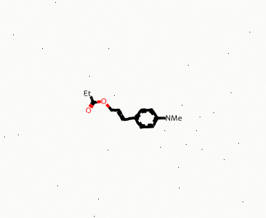 CCC(=O)OC/C=C/c1ccc(NC)cc1